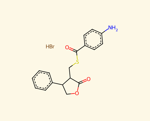 Br.Nc1ccc(C(=O)SCC2C(=O)OCC2c2ccccc2)cc1